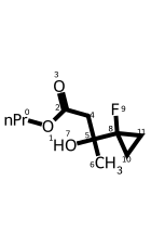 CCCOC(=O)CC(C)(O)C1(F)CC1